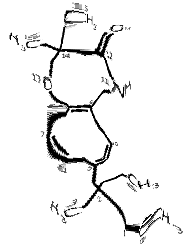 CCC(C)(C)c1ccc2c(c1)NC(=O)C(C)(C)O2